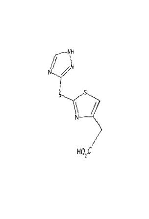 O=C(O)Cc1csc(Sc2nc[nH]n2)n1